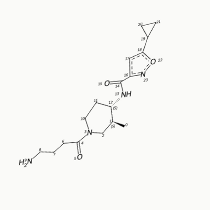 C[C@H]1CN(C(=O)CCCN)CC[C@@H]1NC(=O)c1cc(C2CC2)on1